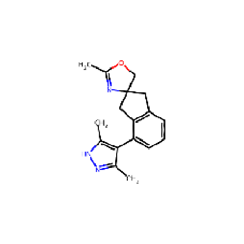 CC1=NC2(CO1)Cc1cccc(-c3c(C)n[nH]c3C)c1C2